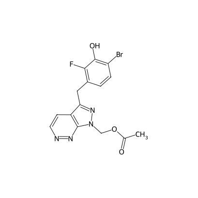 CC(=O)OCn1nc(Cc2ccc(Br)c(O)c2F)c2ccnnc21